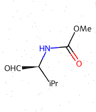 COC(=O)N[C@H](C=O)C(C)C